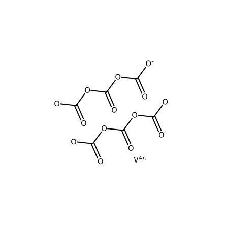 O=C([O-])OC(=O)OC(=O)[O-].O=C([O-])OC(=O)OC(=O)[O-].[V+4]